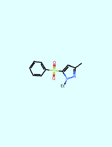 CCn1nc(C)cc1S(=O)(=O)c1ccccc1